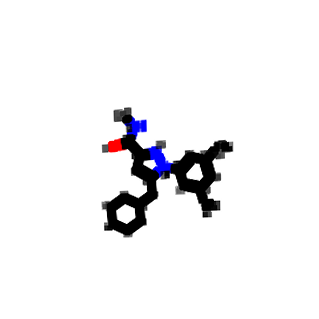 CCNC(=O)c1cc(CC2CCCCC2)n(-c2cc(C(C)(C)C)cc(C(C)(C)C)c2)n1